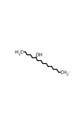 [CH2]CCCCCCCCCC(O)CCCC[CH2]